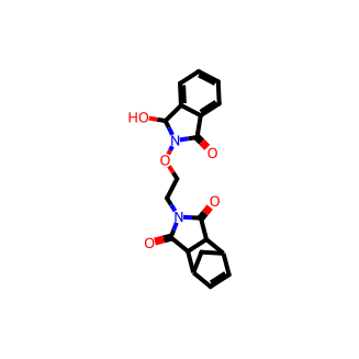 O=C1C2C3C=CC(C3)C2C(=O)N1CCON1C(=O)c2ccccc2C1O